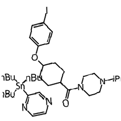 CC(C)N1CCN(C(=O)C2CCC(Oc3ccc(I)cc3)CC2)CC1.CCC[CH2][Sn]([CH2]CCC)([CH2]CCC)[c]1cnccn1